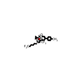 Cc1ccc(C2=CC(=O)N(S(=O)(=O)C3CC3)C(c3cnn(CCCCCC(F)(F)F)c3)(C(F)(F)F)C2)cc1